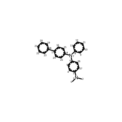 CN(C)c1ccc(N(c2ccccc2)c2ccc(-c3ccccc3)cc2)cc1